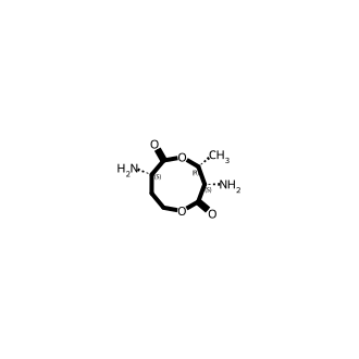 C[C@H]1OC(=O)[C@@H](N)CCOC(=O)[C@H]1N